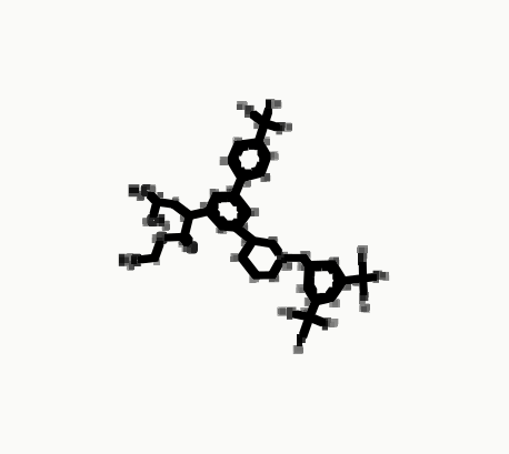 CCOC(=O)C(CC(C)C)c1cc(-c2ccc(C(F)(F)F)cc2)cc(C2CCCN(Cc3cc(C(F)(F)F)cc(C(F)(F)F)c3)C2)c1